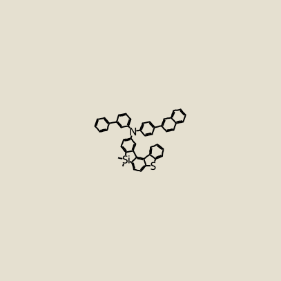 C[Si]1(C)c2ccc(N(c3ccc(-c4ccc5ccccc5c4)cc3)c3cccc(-c4ccccc4)c3)cc2-c2c1ccc1sc3ccccc3c21